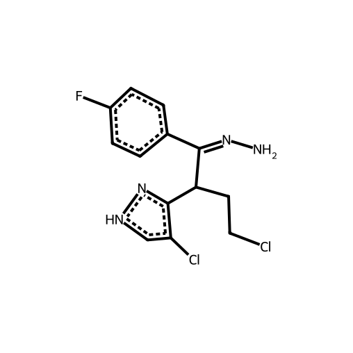 NN=C(c1ccc(F)cc1)C(CCCl)c1n[nH]cc1Cl